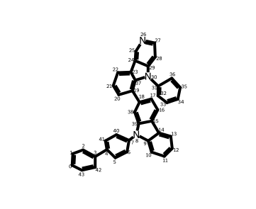 c1ccc(-c2ccc(-n3c4ccccc4c4ccc(-c5cccc6c7cnccc7n(-c7ccccc7)c56)cc43)cc2)cc1